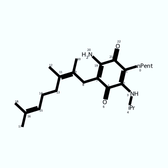 CCCCCC1=C(NC(C)C)C(=O)C(C/C(C)=C(/C)CCC=C(C)C)=C(N)C1=O